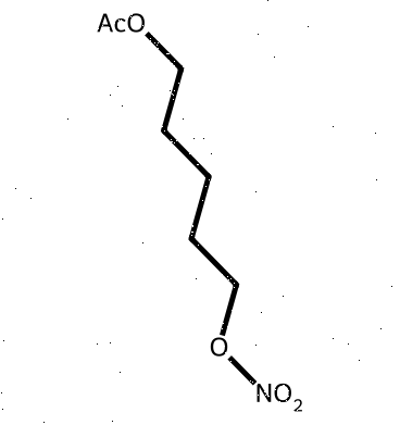 CC(=O)OCCCCCO[N+](=O)[O-]